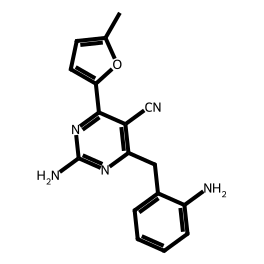 Cc1ccc(-c2nc(N)nc(Cc3ccccc3N)c2C#N)o1